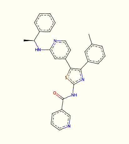 Cc1cccc(-c2nc(NC(=O)c3cccnc3)sc2-c2ccnc(N[C@@H](C)c3ccccc3)c2)c1